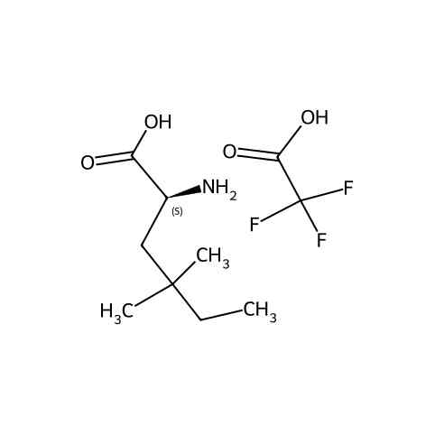 CCC(C)(C)C[C@H](N)C(=O)O.O=C(O)C(F)(F)F